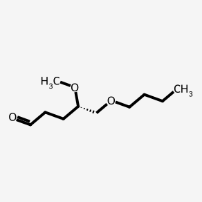 CCCCOC[C@H](CCC=O)OC